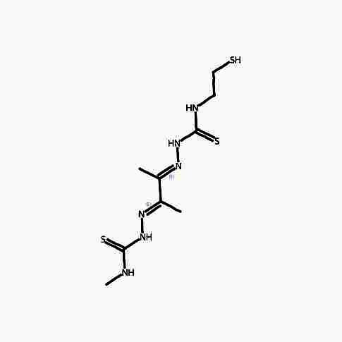 CNC(=S)N/N=C(C)/C(C)=N/NC(=S)NCCS